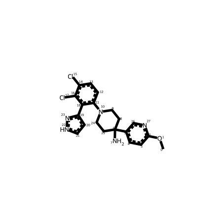 COc1ccc(C2(N)CCN(c3ccc(Cl)c(Cl)c3-c3cc[nH]n3)CC2)cn1